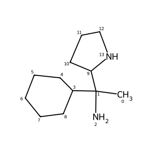 CC(N)(C1CCCCC1)C1CCCN1